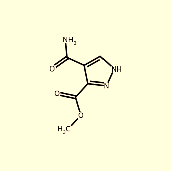 COC(=O)c1n[nH]cc1C(N)=O